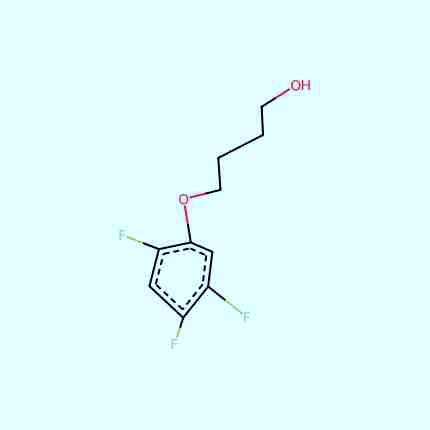 OCCCCOc1cc(F)c(F)cc1F